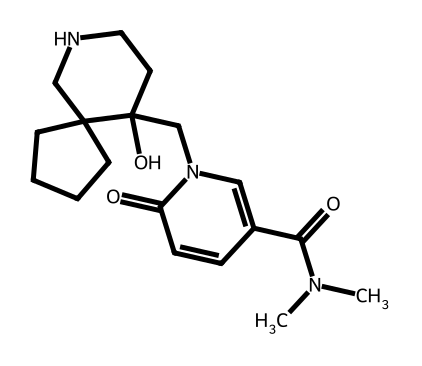 CN(C)C(=O)c1ccc(=O)n(CC2(O)CCNCC23CCCC3)c1